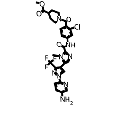 COC(=O)C1CCN(C(=O)c2ccc(NC(=O)c3ncc(-c4cn(-c5ccc(N)cn5)nc4C(F)(F)F)n3C)cc2Cl)CC1